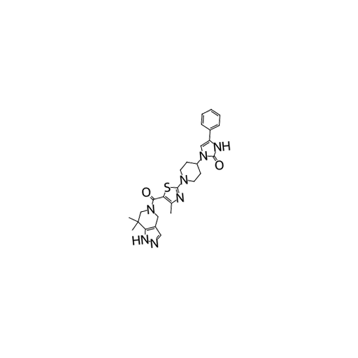 Cc1nc(N2CCC(n3cc(-c4ccccc4)[nH]c3=O)CC2)sc1C(=O)N1Cc2cn[nH]c2C(C)(C)C1